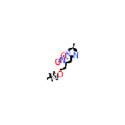 Cc1cnc(C=C(CCO[Si](C)(C)C(C)(C)C)[N+](=O)[O-])nc1